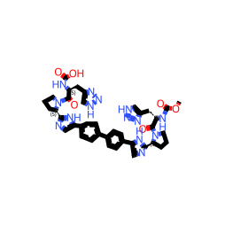 COC(=O)N[C@@H](Cc1c[nH]nn1)C(=O)N1CCC[C@H]1c1ncc(-c2ccc(-c3ccc(-c4cnc([C@@H]5CCCN5C(=O)[C@H](Cc5c[nH]nn5)NC(=O)O)[nH]4)cc3)cc2)[nH]1